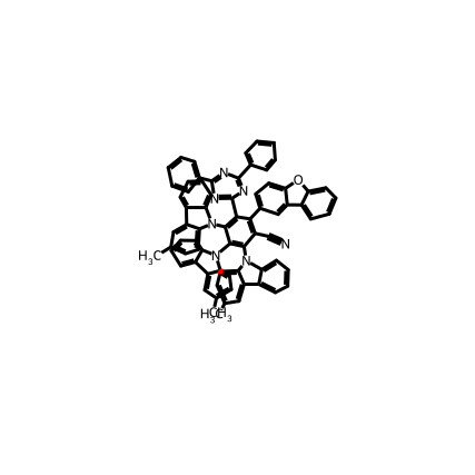 Cc1ccc2c(c1)c1ccccc1n2-c1c(C#N)c(-c2ccc3oc4ccccc4c3c2)c(-c2nc(-c3ccccc3)nc(-c3ccccc3)n2)c(-n2c3ccccc3c3cc(C)ccc32)c1-n1c2ccccc2c2cc(C)ccc21